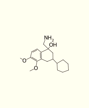 COc1ccc2c(c1OC)CC(C1CCCCC1)CC2(O)CN